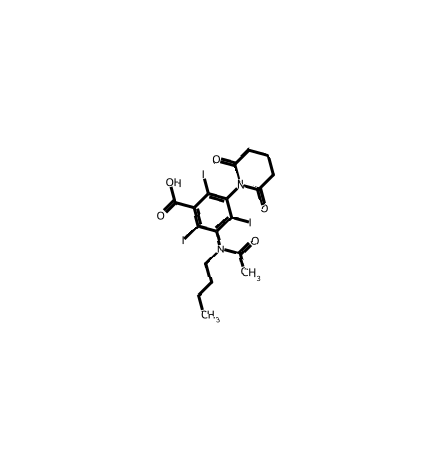 CCCCN(C(C)=O)c1c(I)c(C(=O)O)c(I)c(N2C(=O)CCCC2=O)c1I